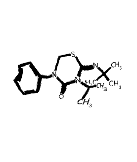 CC(C)N1C(=O)N(c2ccccc2)CSC1=NC(C)(C)C